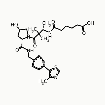 Cc1ncsc1-c1ccc(CNC(=O)[C@@H]2C[C@@H](O)CN2C(=O)C(C)(C)[C@H](C)NC(=O)CCCCC(=O)O)cc1